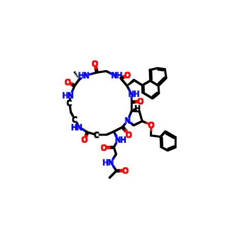 CC(=O)NCC(=O)N[C@H]1CCC(=O)NCCCNC(=O)[C@H](C)NC(=O)CNC(=O)[C@@H](Cc2cccc3ccccc23)NC(=O)[C@@H]2CC(OCc3ccccc3)CN2C1=O